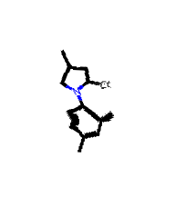 CCC1CC(C)CN1c1ccc(C)cc1C